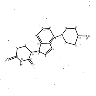 O=C1CC[C@@H](n2ccc3c(N4CCC(O)CC4)cccc32)C(=O)N1